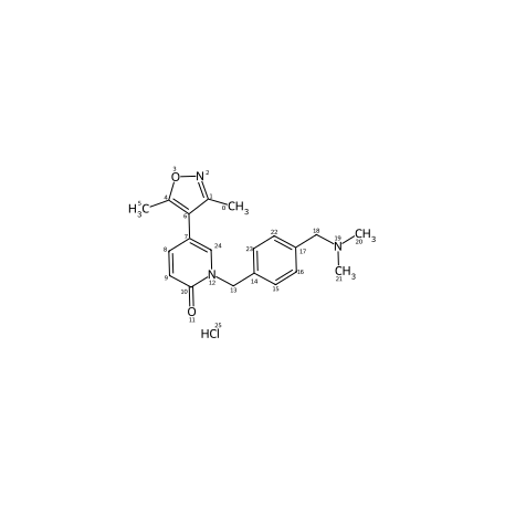 Cc1noc(C)c1-c1ccc(=O)n(Cc2ccc(CN(C)C)cc2)c1.Cl